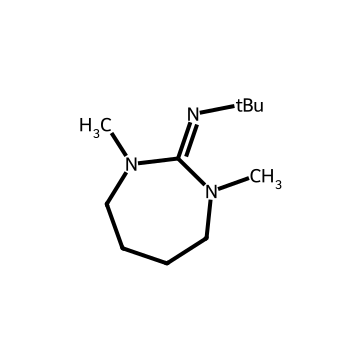 CN1CCCCN(C)C1=NC(C)(C)C